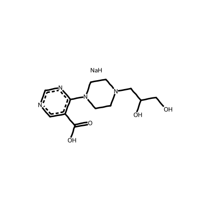 O=C(O)c1cncnc1N1CCN(CC(O)CO)CC1.[NaH]